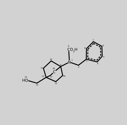 O=C(O)N(Cc1ccccc1)C12CCC(CO)(CC1)CC2